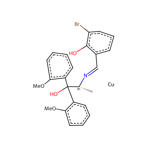 COc1ccccc1C(O)(c1ccccc1OC)[C@@H](C)N=Cc1cccc(Br)c1O.[Cu]